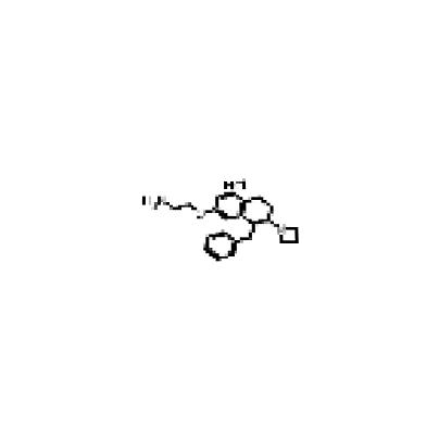 Cl.NCCOc1ccc2c(c1)C(Cc1ccccc1)C(N1CCC1)CC2